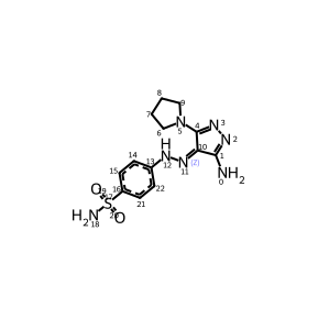 NC1=NN=C(N2CCCC2)/C1=N\Nc1ccc(S(N)(=O)=O)cc1